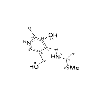 CSC(C)NCc1c(CO)cnc(C)c1O